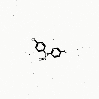 O=NN(c1ccc(Cl)cc1)c1ccc(Cl)cc1